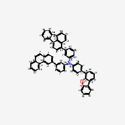 c1cc(-c2ccc3ccc4ccccc4c3c2)cc(N(c2ccc(-c3cccc4c3oc3ccccc34)cc2)c2cccc(-c3ccc4c5c(cccc35)-c3ccccc3-4)c2)c1